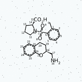 Cc1ccccc1S(=O)(=O)N1CCC[C@H]1C(=O)O.NC[C@@H]1CCc2ccccc2O1